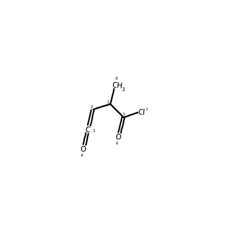 CC(C=C=O)C(=O)Cl